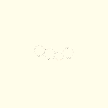 c1ccc2cc3c(cc2c1)sc1ccccc13